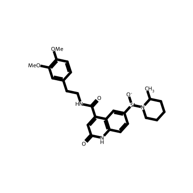 COc1ccc(CCNC(=O)c2cc(=O)[nH]c3ccc([S+]([O-])N4CCCCC4C)cc23)cc1OC